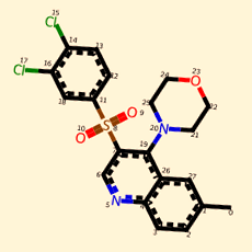 Cc1ccc2ncc(S(=O)(=O)c3ccc(Cl)c(Cl)c3)c(N3CCOCC3)c2c1